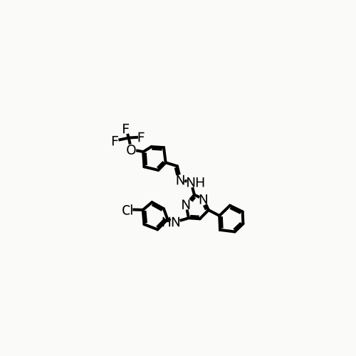 FC(F)(F)Oc1ccc(/C=N/Nc2nc(Nc3ccc(Cl)cc3)cc(-c3ccccc3)n2)cc1